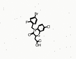 O=C(O)CC1Sc2cc(Cl)ccc2N(Cc2ccc(Br)cc2F)C1=O